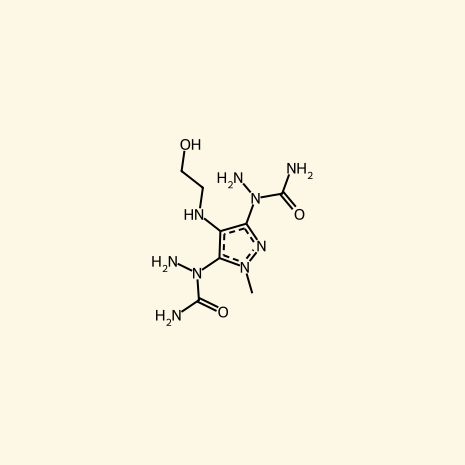 Cn1nc(N(N)C(N)=O)c(NCCO)c1N(N)C(N)=O